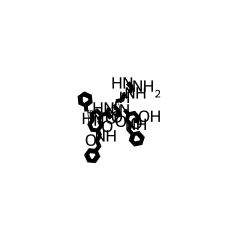 N=C(N)NCCC[C@H](NC(=O)C1C[C@@H](Cc2ccccc2)[C@@H]2CCC(NC(=O)Cc3ccccc3)C(=O)N12)C(=O)NC(CC(=O)O)C(=O)NCc1ccccc1